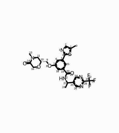 Cc1cnc(-c2cc(OC[C@H]3CN(C)C(=O)CO3)cc(C(=O)NC(C)c3cnc(C(F)(F)F)nc3)c2)s1